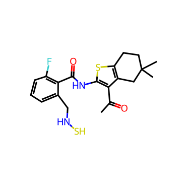 CC(=O)c1c(NC(=O)c2c(F)cccc2CNS)sc2c1CC(C)(C)CC2